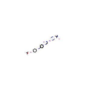 CC(C)(C)OC(=O)N[C@H]1CC[C@H](NCc2ccc(-n3ccc(NC(=O)N4CCN(C(=O)C(C)(C)NC(=O)O)CC4)nc3=O)cc2)CC1